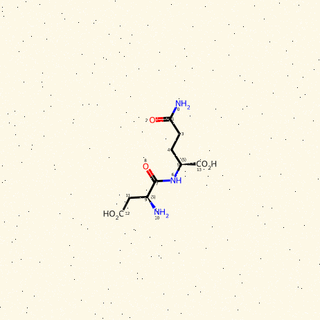 NC(=O)CC[C@H](NC(=O)[C@@H](N)CC(=O)O)C(=O)O